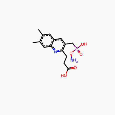 Cc1cc2cc(CP(=O)(O)ON)c(CCC(=O)O)nc2cc1C